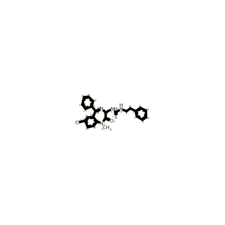 CN1C(=O)C(NC(=S)NCCc2ccccc2)N=C(c2ccccc2)c2cc(Cl)ccc21